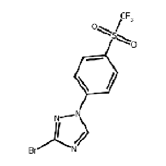 O=S(=O)(c1ccc(-n2cnc(Br)n2)cc1)C(F)(F)F